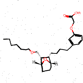 CCCCCCOC[C@@H]1[C@H](CCCCc2cccc(OCC(=O)O)c2)[C@@H]2CC[C@H]1O2